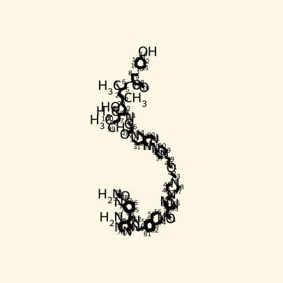 C/C(=C\[C@@H](C)CC[C@@H](CC[C@H]1CC[C@H](O)CC1)OC=O)[C@@H](O)C/C(=N/OCC(=O)N1CCc2nc(N3CCN(CCOCCN4CCN(c5ncc(C(=O)N6CCc7cc(Cn8nc(-c9ccc%10oc(N)nc%10c9)c9c(N)ncnc98)ccc7C6)cn5)CC4)CC3)ncc2C1)[C@H](C)CC(C)C